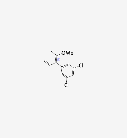 C=C/C(=C(\C)OC)c1cc(Cl)cc(Cl)c1